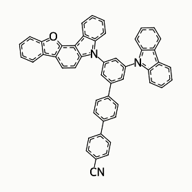 N#Cc1ccc(-c2ccc(-c3cc(-n4c5ccccc5c5ccccc54)cc(-n4c5ccccc5c5c6oc7ccccc7c6ccc54)c3)cc2)cc1